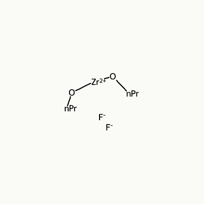 CCC[O][Zr+2][O]CCC.[F-].[F-]